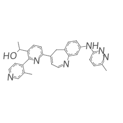 Cc1ccc(Nc2ccc3c(c2)N=CC=C(c2ccc(C(C)O)c(-c4ccncc4C)n2)C3)nn1